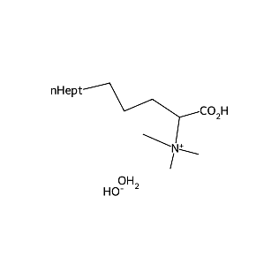 CCCCCCCCCCC(C(=O)O)[N+](C)(C)C.O.[OH-]